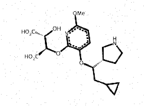 COc1ccc(OC(CC2CC2)[C@H]2CCNC2)c(O[C@@H](C(=O)O)[C@@H](O)C(=O)O)n1